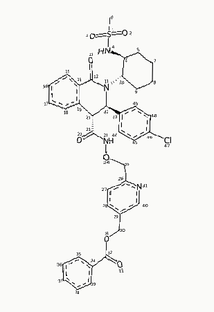 CS(=O)(=O)N[C@H]1CCCC[C@@H]1N1C(=O)c2ccccc2[C@@H](C(=O)NOCc2ccc(COC(=O)c3ccccc3)cn2)[C@@H]1c1ccc(Cl)cc1